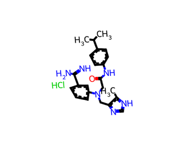 Cc1[nH]cnc1CN(CC(=O)Nc1ccc(C(C)C)cc1)c1cccc(C(=N)N)c1.Cl